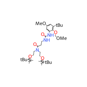 COCOc1c(NC(=O)NCCC(=O)N(CCO[Si](C)(C)C(C)(C)C)CCO[Si](C)(C)C(C)(C)C)cc(OC)cc1C(C)(C)C